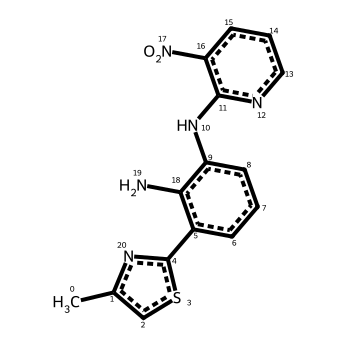 Cc1csc(-c2cccc(Nc3ncccc3[N+](=O)[O-])c2N)n1